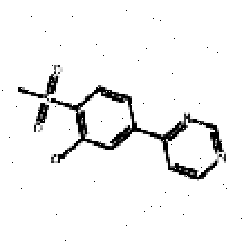 CS(=O)(=O)c1ccc(-c2ccncn2)cc1Cl